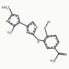 CCOC(=O)c1nc(C)c(-c2csc(Nc3cc(C(N)=O)ccc3OCC)n2)s1